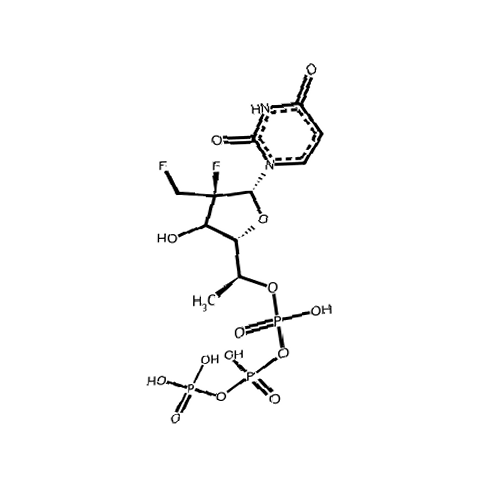 C[C@H](OP(=O)(O)OP(=O)(O)OP(=O)(O)O)[C@H]1O[C@@H](n2ccc(=O)[nH]c2=O)[C@@](F)(CF)C1O